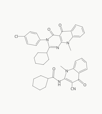 Cn1c(NC(=O)C2CCCCC2)c(C#N)c(=O)c2ccccc21.Cn1c2ccccc2c(=O)c2c(=O)n(-c3ccc(Cl)cc3)c(C3CCCCC3)nc21